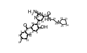 Cc1ccc(C(=O)c2ccc(O)c(-c3cc(C(=O)NCCN4CCCC4)nc(N)n3)c2)c(F)c1